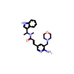 CC(c1c[nH]c2ccccc12)N(C)C(=O)C=Cc1cnc(N)c(CN2CCOCC2)c1